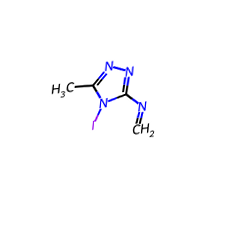 C=Nc1nnc(C)n1I